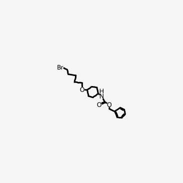 O=C(NC1CCC(OCCCCCBr)CC1)OCc1ccccc1